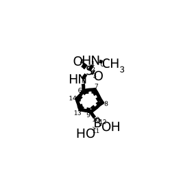 CNS(=O)(=O)Nc1ccc(B(O)O)cc1